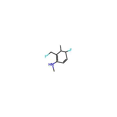 CNC1=C(CF)C(C)C(F)C=C1